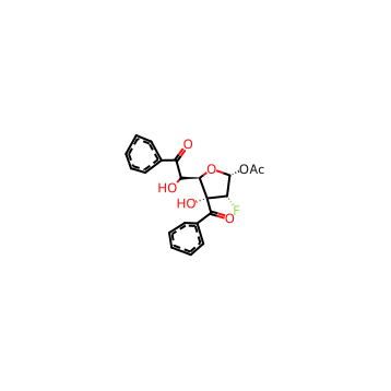 CC(=O)O[C@H]1O[C@H](C(O)C(=O)c2ccccc2)[C@](O)(C(=O)c2ccccc2)[C@H]1F